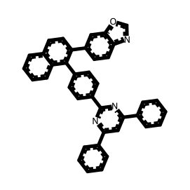 c1ccc(-c2cc(-c3ccccc3)nc(-c3ccc(-c4c(-c5ccc6ncoc6c5)ccc5ccccc45)cc3)n2)cc1